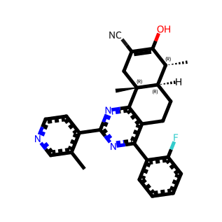 Cc1cnccc1-c1nc(-c2ccccc2F)c2c(n1)[C@]1(C)CC(C#N)=C(O)[C@H](C)[C@H]1CC2